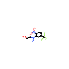 O=[N+]([O-])c1ccc(C(F)(F)F)cc1NCCO